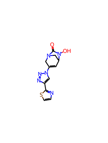 O=C1N2CC(n3cc(-c4nccs4)nn3)=CC(C2)N1O